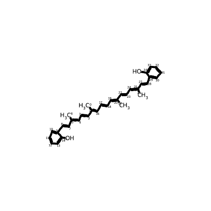 CC(/C=C/C=C(C)/C=C/c1ccccc1O)=C\C=C\C=C(C)\C=C\C=C(C)\C=C\c1ccccc1O